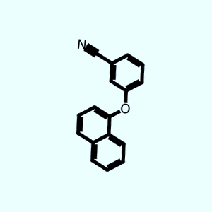 N#Cc1cccc(Oc2cccc3ccccc23)c1